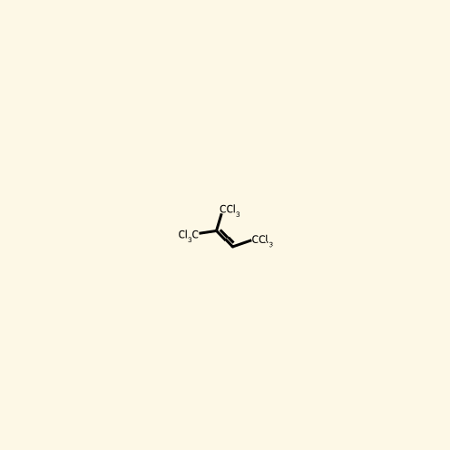 ClC(Cl)(Cl)C=C(C(Cl)(Cl)Cl)C(Cl)(Cl)Cl